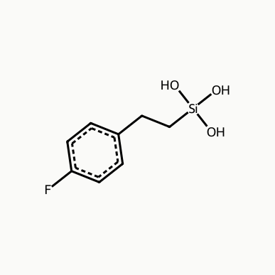 O[Si](O)(O)CCc1ccc(F)cc1